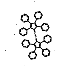 C(=C=C1C(c2ccccc2)=C(c2ccccc2)C(c2ccccc2)=C1c1ccccc1)=C1C(c2ccccc2)=C(c2ccccc2)C(c2ccccc2)=C1c1ccccc1